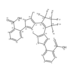 Cc1sc(-c2ccccc2C(=O)O)cc1C1=C(c2cc(-c3ccccc3C(=O)O)sc2C)C(F)(F)C(F)(F)C1(F)F